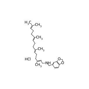 CC(C)=CCC/C(C)=C/CC/C(C)=C/CC/C(C)=C/CNCc1ccc2c(c1)OCO2.Cl